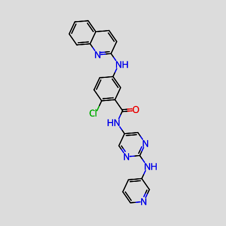 O=C(Nc1cnc(Nc2cccnc2)nc1)c1cc(Nc2ccc3ccccc3n2)ccc1Cl